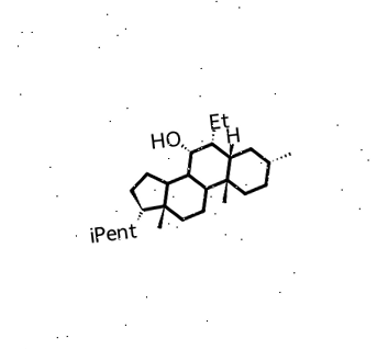 CCC[C@@H](C)[C@H]1CCC2C3C(CC[C@@]21C)[C@@]1(C)CC[C@@H](C)C[C@H]1[C@@H](CC)[C@H]3O